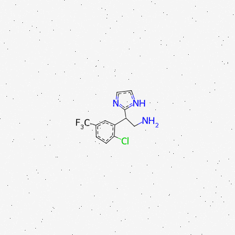 NCC(c1ncc[nH]1)c1cc(C(F)(F)F)ccc1Cl